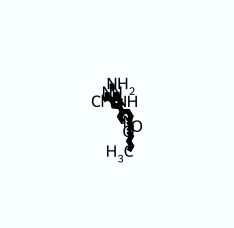 CCCCOC(=O)N1CC=C(c2cc3c(Cl)nc(N)nc3[nH]2)CC1